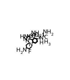 C[C@H](CN)NSc1ccc(N2CC[C@@H](N)[C@@H](F)C2)c(-c2nn[nH]n2)c1S(N)(=O)=O